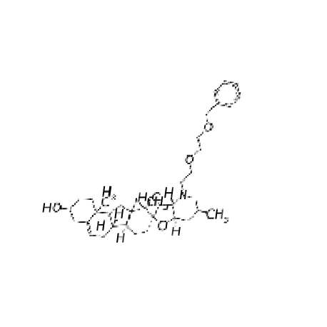 C[C@H]1C[C@H]2O[C@]3(CC[C@H]4[C@@H]5CC=C6C[C@@H](O)CC[C@]6(C)[C@H]5CC45CC53C)[C@H](C)[C@@H]2N(CCOCCOCc2ccccc2)C1